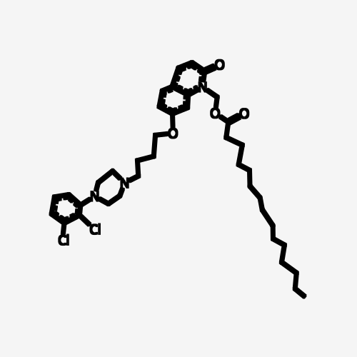 CCCCCCCCCCCCCCC(=O)OCn1c(=O)ccc2ccc(OCCCCN3CCN(c4cccc(Cl)c4Cl)CC3)cc21